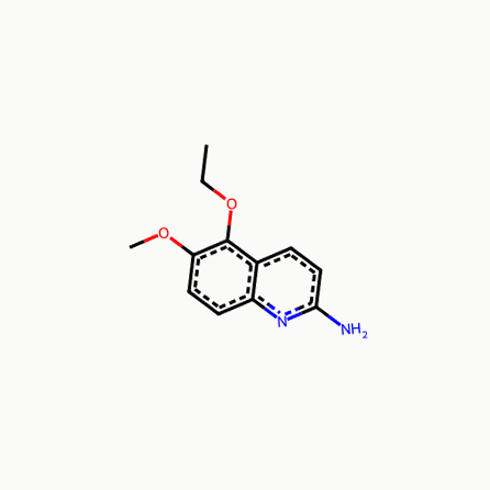 CCOc1c(OC)ccc2nc(N)ccc12